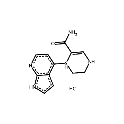 Cl.NC(=O)C1=CNCC[SH]1c1ccnc2[nH]ccc12